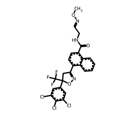 CO/N=C/CNC(=O)c1ccc(C2=NOC(c3cc(Cl)c(Cl)c(Cl)c3)(C(F)(F)F)C2)c2ccccc12